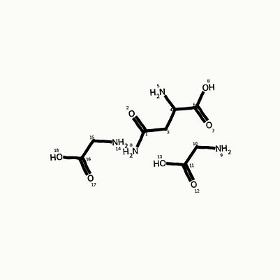 NC(=O)CC(N)C(=O)O.NCC(=O)O.NCC(=O)O